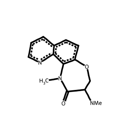 CNC1COc2ccc3cccnc3c2N(C)C1=O